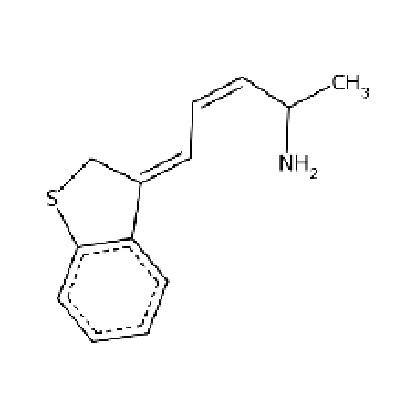 CC(N)/C=C\C=C1/CSc2ccccc21